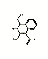 CC(C)COc1c(C(=O)Cl)c2ccccc2n(CC(C)C)c1=O